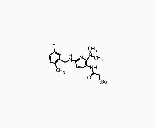 Cc1ccc(F)cc1CNc1ccc(NC(=O)CC(C)(C)C)c(N(C)C)n1